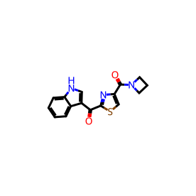 O=C(c1nc(C(=O)N2CCC2)cs1)c1c[nH]c2ccccc12